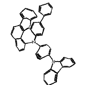 c1ccc(-c2ccc(N(c3ccc(-n4c5ccccc5c5ccccc54)cc3)c3cccc4ccc5c6ccccc6oc5c34)cc2)cc1